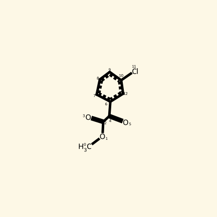 COC(=O)C(=O)c1cccc(Cl)c1